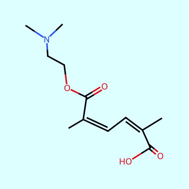 CC(=CC=C(C)C(=O)OCCN(C)C)C(=O)O